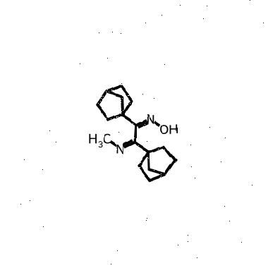 CN=C(C(=NO)C12CCC(CC1)C2)C12CCC(CC1)C2